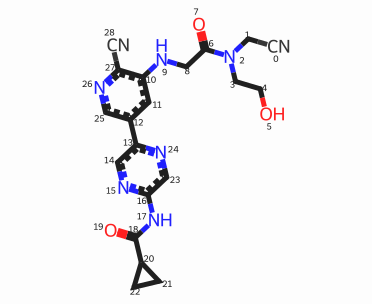 N#CCN(CCO)C(=O)CNc1cc(-c2cnc(NC(=O)C3CC3)cn2)cnc1C#N